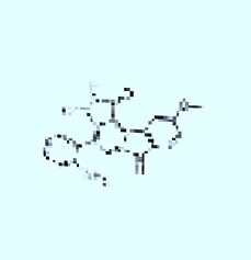 COc1ccc2[nH]c3cc(-c4ccccc4N)c4c(c3c2c1)C(=O)NC4=O